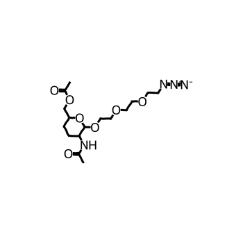 CC(=O)NC1CCC(COC(C)=O)OC1OCCOCCOCCN=[N+]=[N-]